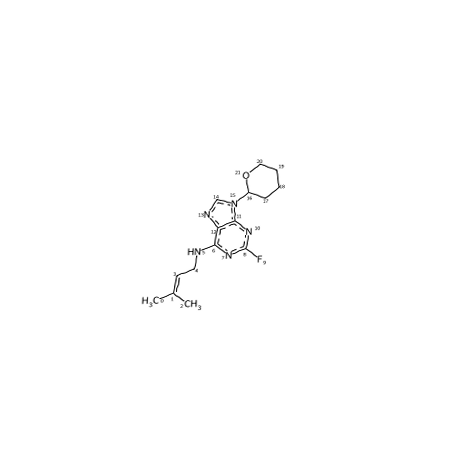 CC(C)=CCNc1nc(F)nc2c1ncn2C1CCCCO1